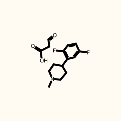 CN1CCC(c2cc(F)ccc2F)CC1.O=CCC(=O)O